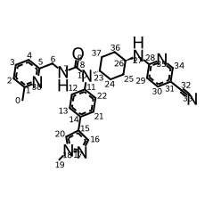 Cc1cccc(CNC(=O)N(c2ccc(-c3cnn(C)c3)cc2)[C@H]2CC[C@H](Nc3ccc(C#N)cn3)CC2)n1